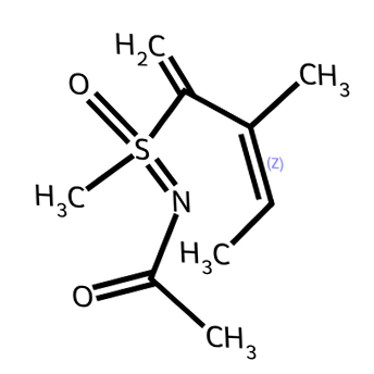 C=C(/C(C)=C\C)S(C)(=O)=NC(C)=O